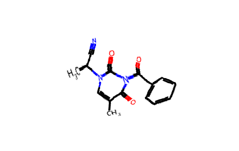 Cc1cn(C(C)C#N)c(=O)n(C(=O)c2ccccc2)c1=O